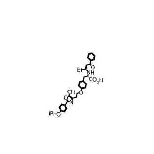 CCC(=CC(=O)c1ccccc1)N[C@@H](Cc1ccc(OCCc2nc(-c3ccc(OC(C)C)cc3)oc2C)cc1)C(=O)O